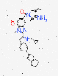 CC[C@@H]1CN(C(=O)c2cc(OC)c3c(c2)nc(-c2cc4ccc(C5=Cc6ccccc6C5)cc4n2CC2CC2)n3C)[C@H](C)[C@H]1N